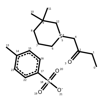 CCC(=O)C[S+]1CCCC(C)(C)C1.Cc1ccc(S(=O)(=O)[O-])cc1